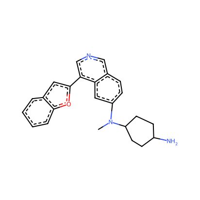 CN(c1ccc2cncc(-c3cc4ccccc4o3)c2c1)C1CCC(N)CC1